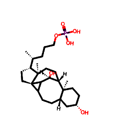 C[C@H](CCCOP(=O)(O)O)[C@H]1CC[C@@]23C4CC[C@H]5C[C@@H](O)CC[C@]5(C)[C@@H](CC[C@]12C)[C@H](O)C43